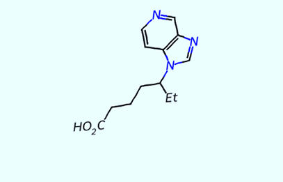 CCC(CCCC(=O)O)n1cnc2cnccc21